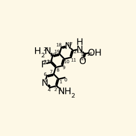 Cc1c(N)cncc1-c1cc2cc(NC(=O)O)ncc2c(N)c1F